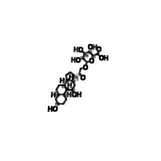 C[C@]12C[C@@H](O)[C@H]3[C@@H](CC[C@@H]4C[C@@H](O)CC[C@@H]43)[C@@H]1CC[C@@H]2C(=O)COC1O[C@H](C(=O)O)[C@@H](O)[C@H](O)[C@H]1O